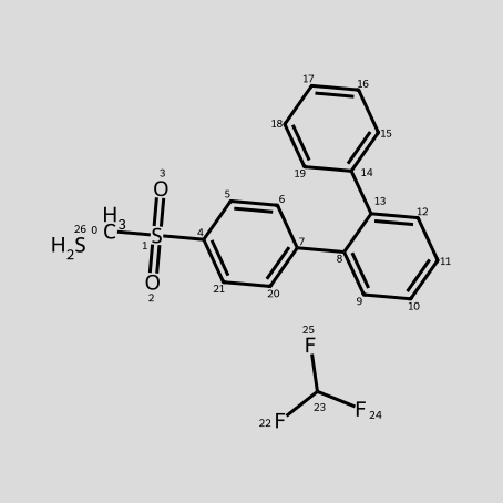 CS(=O)(=O)c1ccc(-c2ccccc2-c2ccccc2)cc1.FC(F)F.S